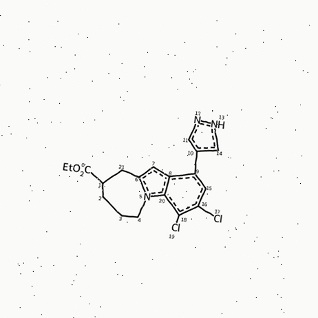 CCOC(=O)C1CCCn2c(cc3c(-c4cn[nH]c4)cc(Cl)c(Cl)c32)C1